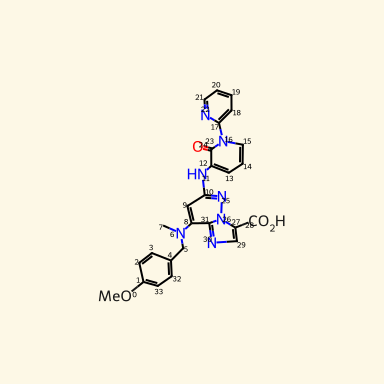 COc1ccc(CN(C)c2cc(Nc3cccn(-c4ccccn4)c3=O)nn3c(C(=O)O)cnc23)cc1